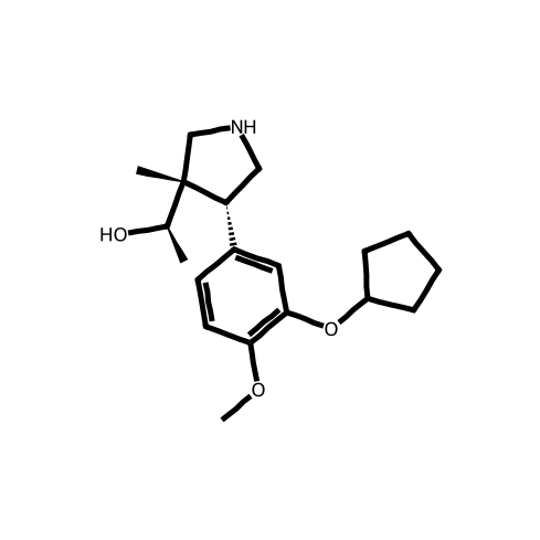 COc1ccc([C@H]2CNC[C@@]2(C)[C@@H](C)O)cc1OC1CCCC1